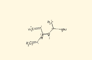 C=C[SiH](C=C)OC(C)C(C)(C)C